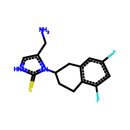 NCc1c[nH]c(=S)n1C1CCc2c(F)cc(F)cc2C1